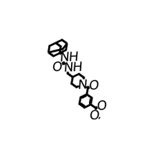 COC(=O)c1cccc(C(=O)N2CCC(CNC(=O)NC34CC5CC(CC(C5)C3)C4)CC2)c1